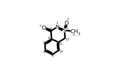 CS1(=O)=NC(=O)c2ccccc2C1